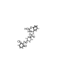 O=C(O)NC(CS(=O)(=O)N1CCC(OCc2c(Cl)cccc2Cl)CC1)c1cccnc1